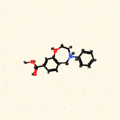 COC(=O)c1ccc2c(c1)OCCN(c1ccccc1)C2